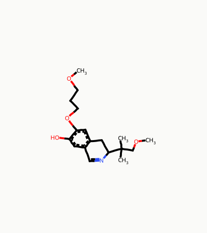 COCCCOc1cc2c(cc1O)C=NC(C(C)(C)COC)C2